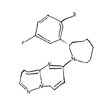 Fc1ccc(F)c([C@@H]2CCCN2c2ccn3nccc3n2)c1